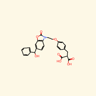 O=C(O)C(Cc1ccc(OCCn2c(=O)oc3cc(C(O)c4ccccc4)ccc32)cc1)C(=O)O